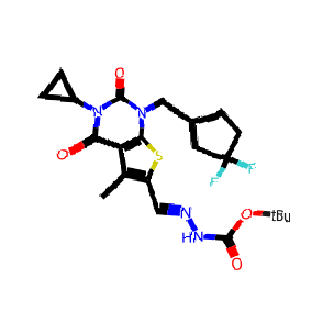 Cc1c(C=NNC(=O)OC(C)(C)C)sc2c1c(=O)n(C1CC1)c(=O)n2CC1CCC(F)(F)C1